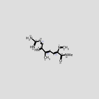 C=N/C(=C\C=C(/C)C(=N)/C=N\C(=N)N)C(=O)NC